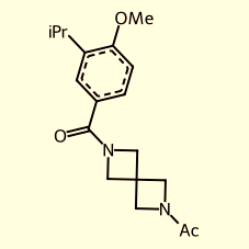 COc1ccc(C(=O)N2CC3(CN(C(C)=O)C3)C2)cc1C(C)C